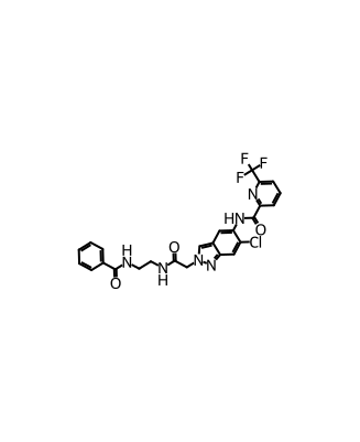 O=C(Cn1cc2cc(NC(=O)c3cccc(C(F)(F)F)n3)c(Cl)cc2n1)NCCNC(=O)c1ccccc1